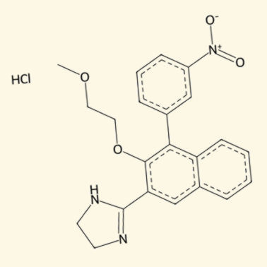 COCCOc1c(C2=NCCN2)cc2ccccc2c1-c1cccc([N+](=O)[O-])c1.Cl